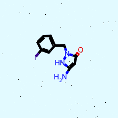 Nc1cc(=O)n(Cc2cccc(I)c2)[nH]1